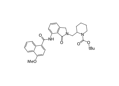 COc1ccc(C(=O)Nc2cccc3c2C(=O)N(CC2CCCCN2C(=O)OC(C)(C)C)C3)c2ccccc12